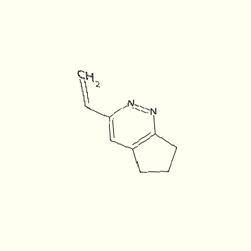 C=Cc1cc2c(nn1)CCC2